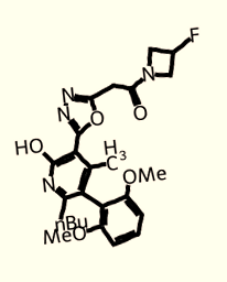 CCCCc1nc(O)c(-c2nnc(CC(=O)N3CC(F)C3)o2)c(C)c1-c1c(OC)cccc1OC